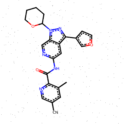 Cc1cc(C#N)cnc1C(=O)Nc1cc2c(-c3ccoc3)nn(C3CCCCO3)c2cn1